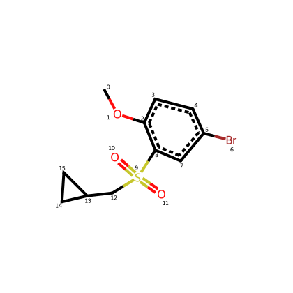 COc1ccc(Br)cc1S(=O)(=O)CC1CC1